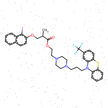 CC(COc1ccc2ccccc2c1I)C(=O)OCCN1CCN(CCCN2c3ccccc3Sc3ccc(C(F)(F)F)cc32)CC1